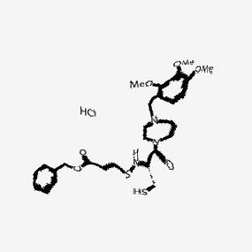 COc1ccc(CN2CCN(C(=O)[C@H](CS)NSCCC(=O)OCc3ccccc3)CC2)c(OC)c1OC.Cl